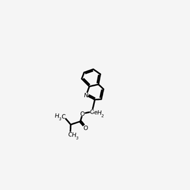 CC(C)C(=O)[O][GeH2][c]1ccc2ccccc2n1